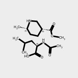 CC(=O)N[C@H](CC(C)C)C(=O)O.COC(=O)[C@@H]1CC[C@H](C)NC1